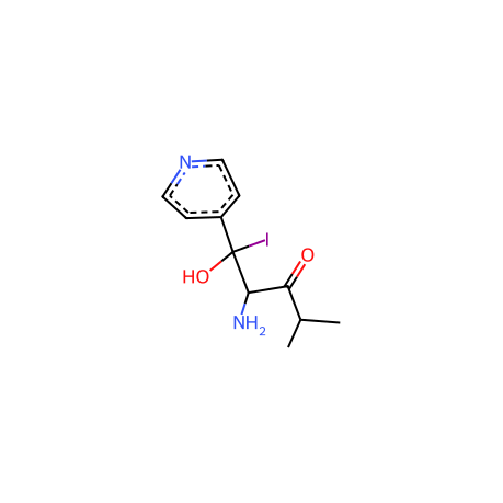 CC(C)C(=O)C(N)C(O)(I)c1ccncc1